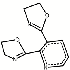 c1cnc(C2=NCCO2)c(C2=NCCO2)c1